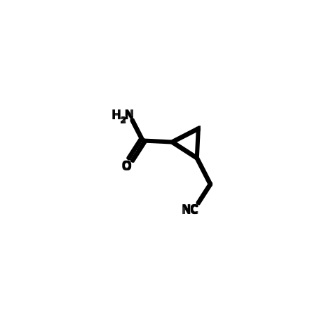 N#CCC1CC1C(N)=O